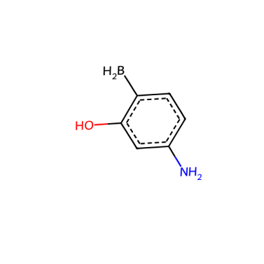 Bc1ccc(N)cc1O